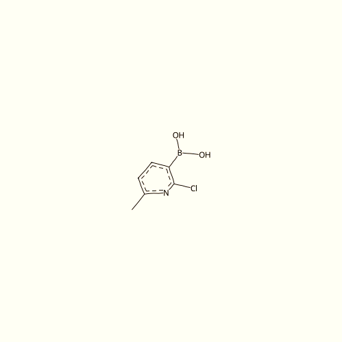 Cc1ccc(B(O)O)c(Cl)n1